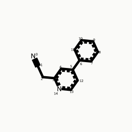 N#CCc1cc(-c2ccccc2)ccn1